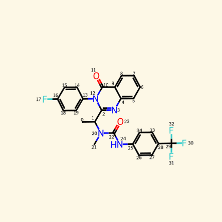 CC(c1nc2ccccc2c(=O)n1-c1ccc(F)cc1)N(C)C(=O)Nc1ccc(C(F)(F)F)cc1